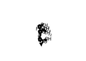 C=CC(C)(C)[C@@H](O)c1cc(COc2cccc([C@@H](CC(=O)O)CC3CC3)c2)ccc1-c1cc(OC)ccc1F